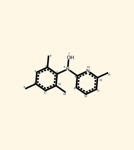 Cc1cc(C)c(N(O)c2cccc(C)n2)c(C)c1